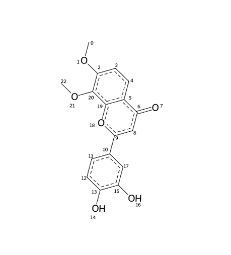 COc1ccc2c(=O)cc(-c3ccc(O)c(O)c3)oc2c1OC